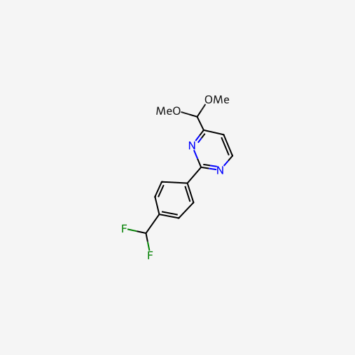 COC(OC)c1ccnc(-c2ccc(C(F)F)cc2)n1